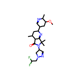 COC1CC(C2CC(C)C3C(=O)N(C4C=NN(CC(F)F)C4)C(C)(C)C3=N2)C=NC1C